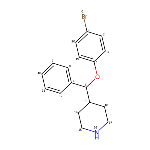 Brc1ccc(OC(c2ccccc2)C2CCNCC2)cc1